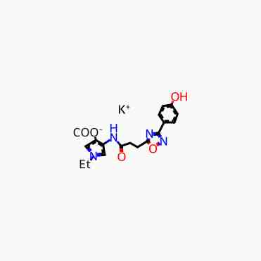 CCn1cc(NC(=O)CCc2nc(-c3ccc(O)cc3)no2)c(C(=O)[O-])c1.[K+]